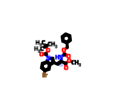 COC(=O)/C(=C/c1cn(C(=O)OC(C)(C)C)c2ccc(Br)cc12)NC(=O)OCc1ccccc1